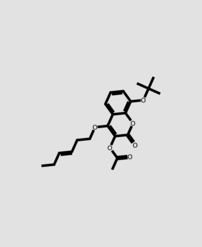 CCC=CCCOc1c(OC(C)=O)c(=O)oc2c(OC(C)(C)C)cccc12